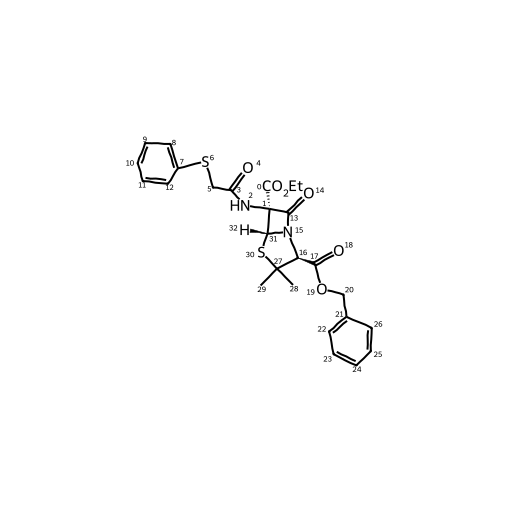 CCOC(=O)[C@]1(NC(=O)CSc2ccccc2)C(=O)N2[C@@H](C(=O)OCc3ccccc3)C(C)(C)S[C@@H]21